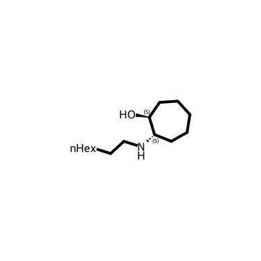 CCCCCCCCN[C@H]1CCCCC[C@@H]1O